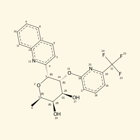 C[C@H]1O[C@H](c2ccc3ccccc3n2)[C@H](Oc2cccc(C(F)(F)F)n2)[C@@H](O)[C@H]1O